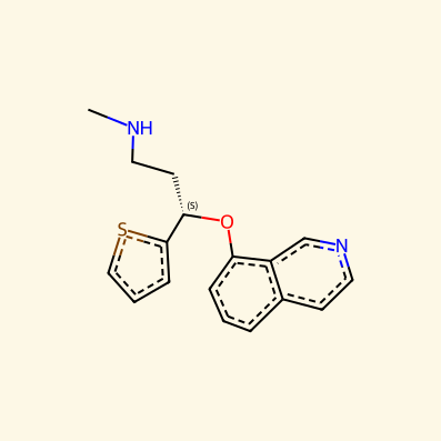 CNCC[C@H](Oc1cccc2ccncc12)c1cccs1